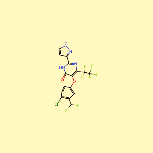 O=c1[nH]c(-c2cc[nH]n2)nc(C(F)(F)C(F)(F)F)c1Oc1ccc(Cl)c(C(F)F)c1